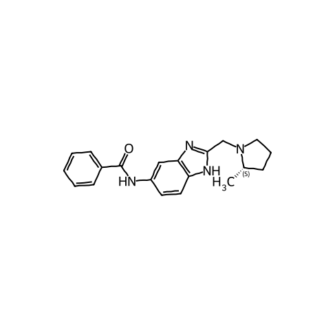 C[C@H]1CCCN1Cc1nc2cc(NC(=O)c3ccccc3)ccc2[nH]1